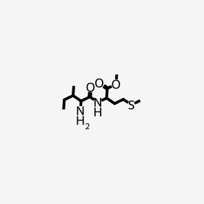 CCC(C)C(N)C(=O)NC(CCSC)C(=O)OC